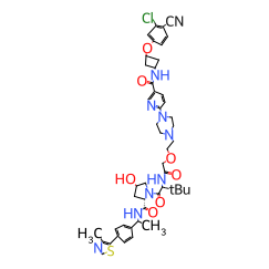 Cc1ncsc1-c1ccc(C(C)NC(=O)[C@@H]2C[C@@H](O)CN2C(=O)C(NC(=O)COCCN2CCN(c3ccc(C(=O)N[C@H]4C[C@H](Oc5ccc(C#N)c(Cl)c5)C4)cn3)CC2)C(C)(C)C)cc1